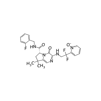 CC1(C)C[C@H](C(=O)NCc2ccccc2F)n2c1cnc(NCC(F)(F)c1cccc[n+]1[O-])c2=O